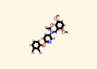 COc1ccc(OC)c(CN(C(C)=O)c2ccc(Oc3cccc(C)c3C)nc2)c1